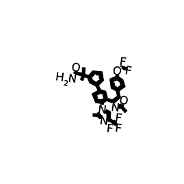 Cc1nc(-c2cc(-c3cccc(C(C)(C)C(N)=O)c3)ccc2-n2cc(C(F)(F)F)nc2C)c(-c2ccc(OC(F)F)cc2)o1